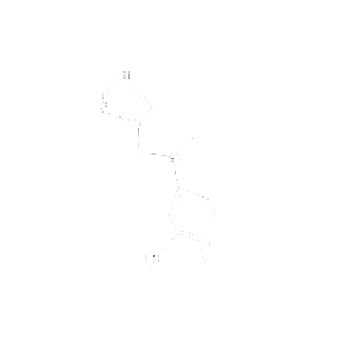 Nc1cc(C(=O)On2ccnc2)ccc1Cl